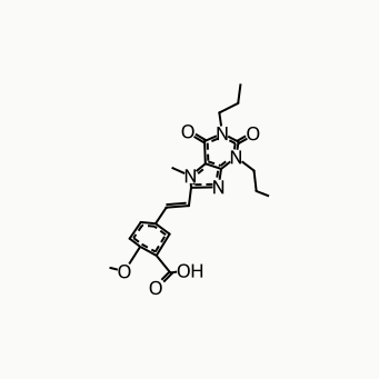 CCCn1c(=O)c2c(nc(/C=C/c3ccc(OC)c(C(=O)O)c3)n2C)n(CCC)c1=O